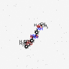 CC(C)(C)OC(=O)NCc1ccc(C(=O)NNC(=O)c2ccc(OC(Cc3ccccc3)C(=O)OC(C)(C)C)cc2)cc1